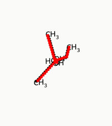 CCCCCCCC/C=C\CCCCCCCC(=O)C(O)(C(O)CCCCCCCCCCCCCCCCCCCCCC)C(O)CCCCCCCCCCCCCCCCCCCCCC